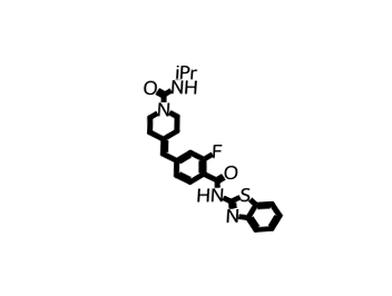 CC(C)NC(=O)N1CCC(=Cc2ccc(C(=O)Nc3nc4ccccc4s3)c(F)c2)CC1